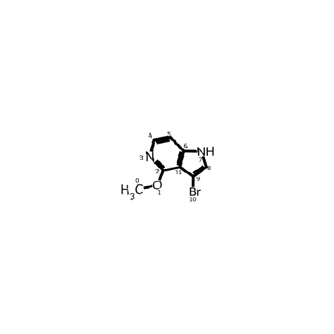 COc1nccc2[nH]cc(Br)c12